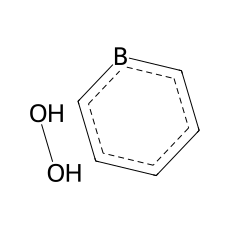 OO.b1ccccc1